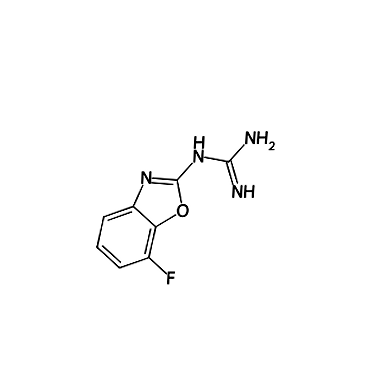 N=C(N)Nc1nc2cccc(F)c2o1